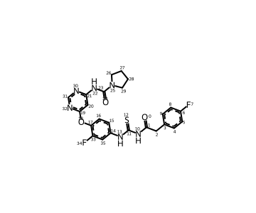 O=C(Cc1ccc(F)cc1)NC(=S)Nc1ccc(Oc2cc(NC(=O)N3CCCC3)ncn2)c(F)c1